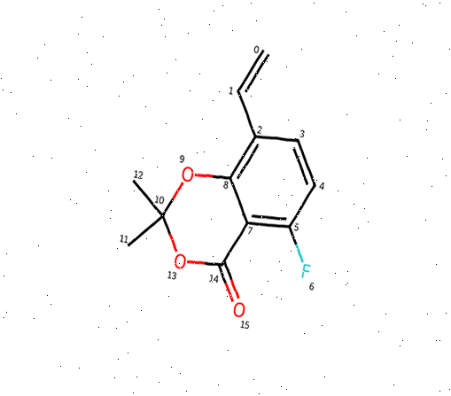 C=Cc1ccc(F)c2c1OC(C)(C)OC2=O